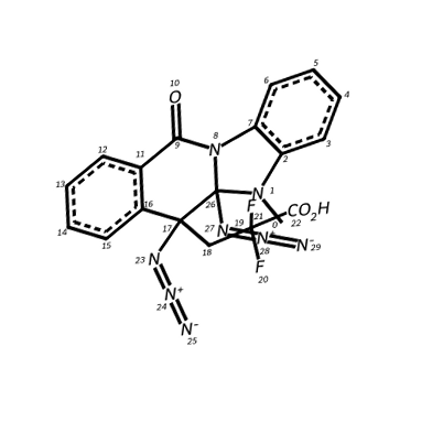 CN1c2ccccc2N2C(=O)c3ccccc3C(CC(F)(F)C(=O)O)(N=[N+]=[N-])C12N=[N+]=[N-]